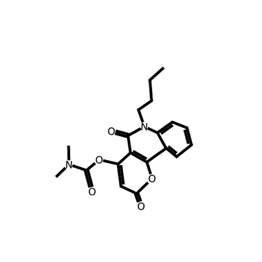 CCCCn1c(=O)c2c(OC(=O)N(C)C)cc(=O)oc2c2ccccc21